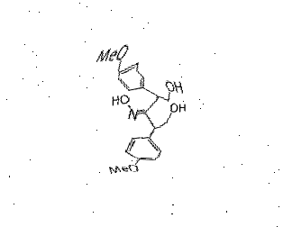 COc1ccc(C(CO)C(=NO)C(CO)c2ccc(OC)cc2)cc1